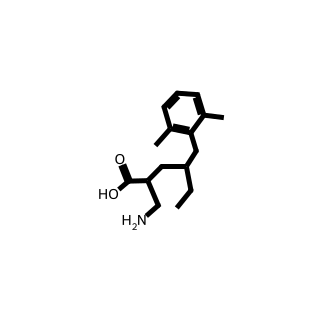 CCC(Cc1c(C)cccc1C)CC(CN)C(=O)O